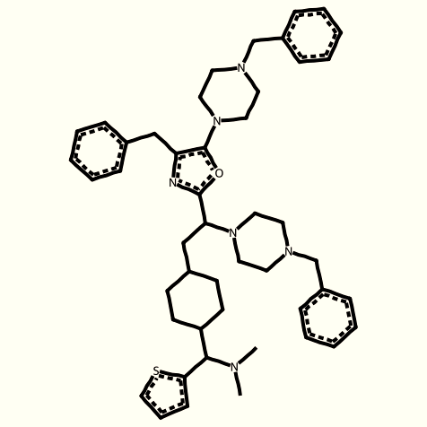 CN(C)C(c1cccs1)C1CCC(CC(c2nc(Cc3ccccc3)c(N3CCN(Cc4ccccc4)CC3)o2)N2CCN(Cc3ccccc3)CC2)CC1